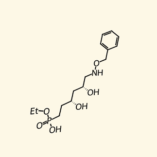 CCOP(=O)(O)CC[C@@H](O)C[C@@H](O)CNOCc1ccccc1